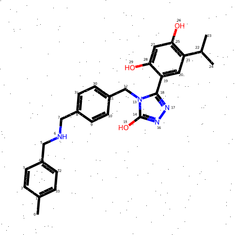 Cc1ccc(CNCc2ccc(Cn3c(O)nnc3-c3cc(C(C)C)c(O)cc3O)cc2)cc1